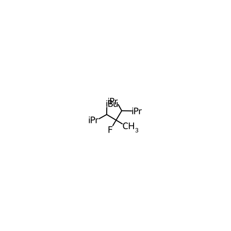 CCC(C)C(C(C)C)C(C)(F)C(C(C)C)C(C)C